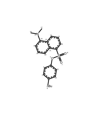 CCCCc1ccc(OS(=O)(=O)c2cccc3c(N(C)C)cccc23)cc1